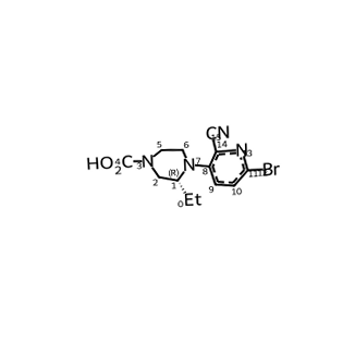 CC[C@@H]1CN(C(=O)O)CCN1c1ccc(Br)nc1C#N